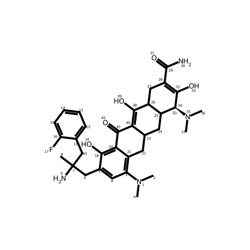 CN(C)c1cc(CC(C)(N)Cc2ccccc2F)c(O)c2c1CC1CC3C(CC(C(N)=O)=C(O)[C@H]3N(C)C)C(O)=C1C2=O